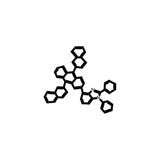 c1ccc(-c2nc3c(-c4ccc5c(-c6ccc7ccccc7c6)c6ccccc6c(-c6ccc7ccccc7c6)c5c4)cccc3n2-c2ccccc2)cc1